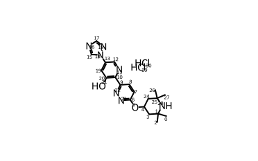 CC1(C)CC(Oc2ccc(-c3ncc(-n4cncn4)cc3O)nn2)CC(C)(C)N1.Cl.Cl